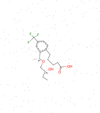 CC[C@@H](O)CO[C@H](C)c1cc(C(F)(F)F)ccc1CCCCC(=O)O